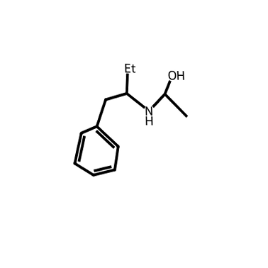 CCC(Cc1ccccc1)NC(C)O